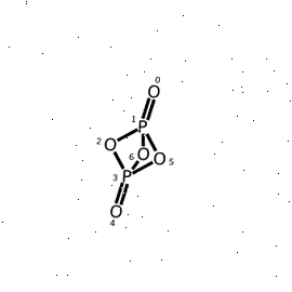 O=P12OP(=O)(O1)O2